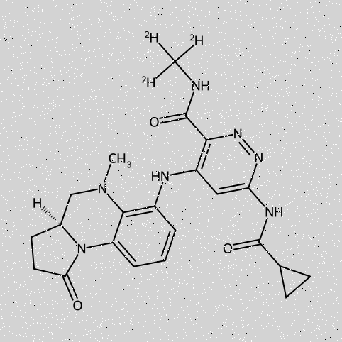 [2H]C([2H])([2H])NC(=O)c1nnc(NC(=O)C2CC2)cc1Nc1cccc2c1N(C)C[C@@H]1CCC(=O)N21